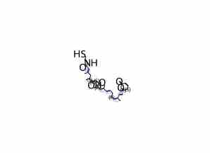 CC(=C/[C@H](C)C/C=C/C(C)=C/[C@@H](C)C(=O)[C@@H](C)[C@H](O)[C@@H](C)C/C(C)=C/C(=O)NCCS)/C=C/[C@@H]1OC(=O)C=C[C@@H]1C